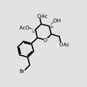 CC(=O)OCC1OC(c2cccc(CBr)c2)[C@H](OC(C)=O)C(OC(C)=O)[C@@H]1O